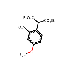 CCOC(=O)C(C(=O)OCC)c1ccc(OC(F)(F)F)cc1[N+](=O)[O-]